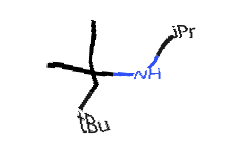 CC(C)NC(C)(C)C(C)(C)C